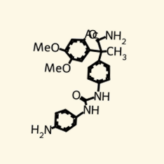 COc1cc(C(C)=O)c(C(C)(C(N)=O)c2ccc(NC(=O)Nc3ccc(N)cc3)cc2)cc1OC